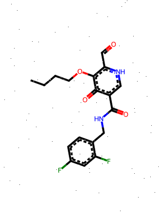 CCCCOc1c(C=O)[nH]cc(C(=O)NCc2ccc(F)cc2F)c1=O